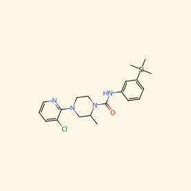 CC1CN(c2ncccc2Cl)CCN1C(=O)Nc1cccc([Si](C)(C)C)c1